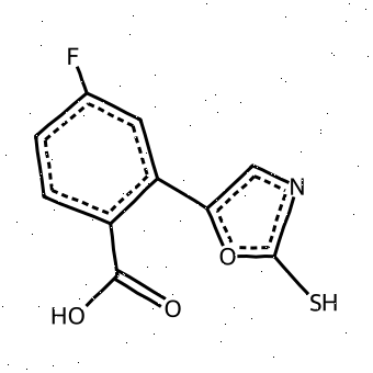 O=C(O)c1ccc(F)cc1-c1cnc(S)o1